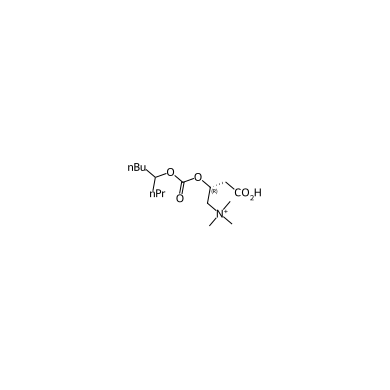 CCCCC(CCC)OC(=O)O[C@H](CC(=O)O)C[N+](C)(C)C